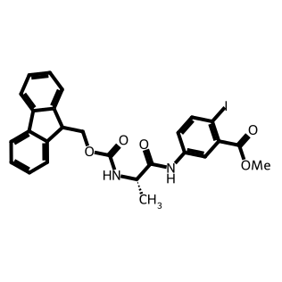 COC(=O)c1cc(NC(=O)[C@H](C)NC(=O)OCC2c3ccccc3-c3ccccc32)ccc1I